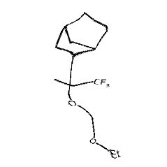 CCOCOC(C)(C1CC2CCC1C2)C(F)(F)F